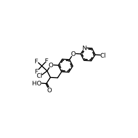 O=C(O)C1Cc2ccc(Oc3ccc(Cl)cn3)cc2OC1(Cl)C(F)(F)F